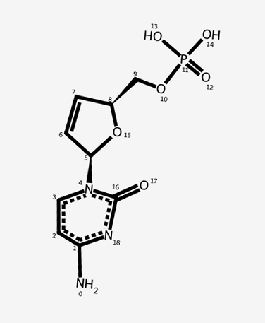 Nc1ccn([C@H]2C=C[C@@H](COP(=O)(O)O)O2)c(=O)n1